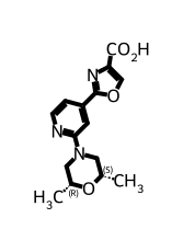 C[C@@H]1CN(c2cc(-c3nc(C(=O)O)co3)ccn2)C[C@H](C)O1